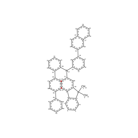 CC1(C)c2ccccc2-c2ccc(N(c3cccc(-c4ccc5ccccc5c4)c3)c3ccccc3-c3ccc(-c4ccccc4)cc3)cc21